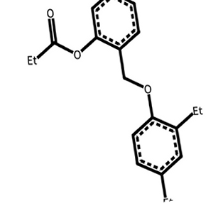 CCC(=O)Oc1ccccc1COc1ccc(CC)cc1CC